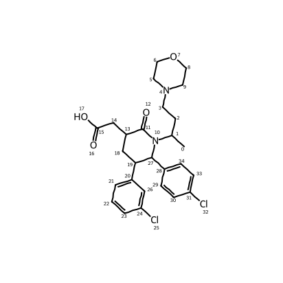 CC(CCN1CCOCC1)N1C(=O)C(CC(=O)O)CC(c2cccc(Cl)c2)C1c1ccc(Cl)cc1